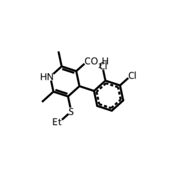 CCSC1=C(C)NC(C)=C(C(=O)O)C1c1cccc(Cl)c1Cl